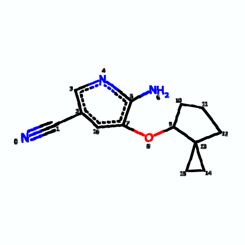 N#Cc1cnc(N)c(OC2CCCC23CC3)c1